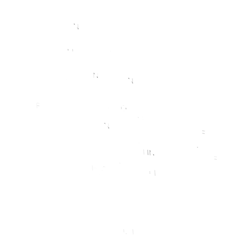 C=C(/C(Cl)=C\C=C/C)[C@@H](C(=O)NC1CC(F)(F)C1)N(C(=O)[C@@H]1CCC(=O)N1c1ncccc1C#N)c1cccc(F)c1